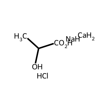 CC(O)C(=O)O.Cl.[CaH2].[NaH]